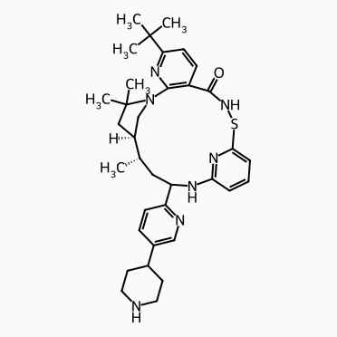 C[C@H]1CC(c2ccc(C3CCNCC3)cn2)Nc2cccc(n2)SNC(=O)c2ccc(C(C)(C)C)nc2N2C[C@@H]1CC2(C)C